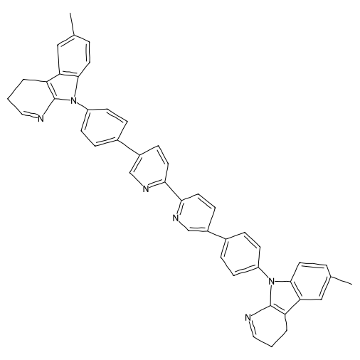 Cc1ccc2c(c1)c1c(n2-c2ccc(-c3ccc(-c4ccc(-c5ccc(-n6c7c(c8cc(C)ccc86)CCC=N7)cc5)cn4)nc3)cc2)N=CCC1